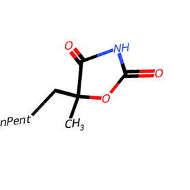 CCCCCCC1(C)OC(=O)NC1=O